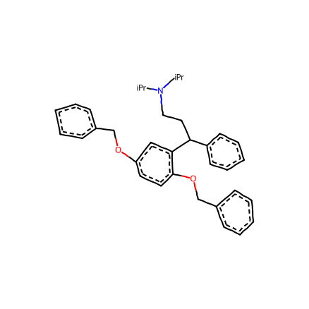 CC(C)N(CCC(c1ccccc1)c1cc(OCc2ccccc2)ccc1OCc1ccccc1)C(C)C